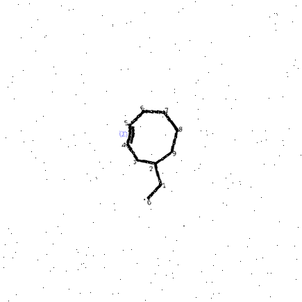 [CH2]CC1C/C=C\CCCC1